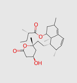 CC[C@H](C)C(=O)OC1CC(C)C=C2C=C[C@H](C)[C@H](CC[C@]3(C)C[C@@H](O)CC(=O)O3)[C@]21C